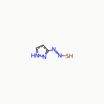 SN=Nc1cc[nH]n1